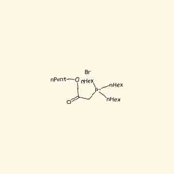 CCCCCC[P+](CCCCCC)(CCCCCC)CC(=O)OCCCCC.[Br-]